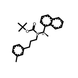 Cc1cccc(CCCN(C(=O)OC(C)(C)C)[C@H](C)c2cccc3ccccc23)c1